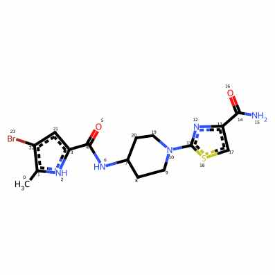 Cc1[nH]c(C(=O)NC2CCN(c3nc(C(N)=O)cs3)CC2)cc1Br